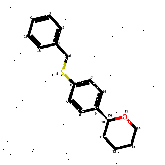 c1ccc(CSc2ccc([C@@H]3CCCCO3)cc2)cc1